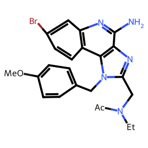 CCN(Cc1nc2c(N)nc3cc(Br)ccc3c2n1Cc1ccc(OC)cc1)C(C)=O